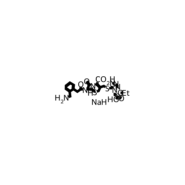 CCOP(=O)(O)Cn1nnnc1SCC1=C(C(=O)O)N2C(=O)[C@@H](NC(=O)Cc3ccccc3CN)[C@H]2SC1.[NaH]